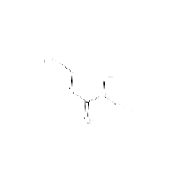 CCCCCNC(=N)N(C)C